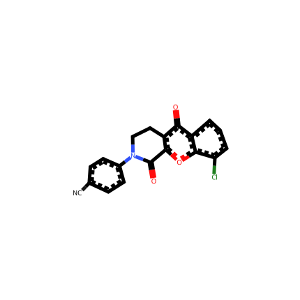 N#Cc1ccc(N2CCc3c(oc4c(Cl)cccc4c3=O)C2=O)cc1